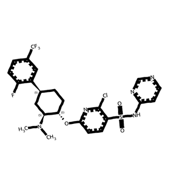 CN(C)[C@H]1C[C@@H](c2cc(C(F)(F)F)ccc2F)CC[C@@H]1Oc1ccc(S(=O)(=O)Nc2ccncn2)c(Cl)n1